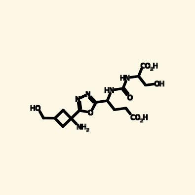 NC1(c2nnc(C(CCC(=O)O)NC(=O)NC(CO)C(=O)O)o2)CC(CO)C1